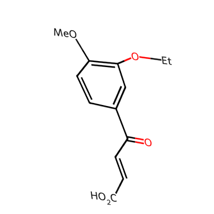 CCOc1cc(C(=O)C=CC(=O)O)ccc1OC